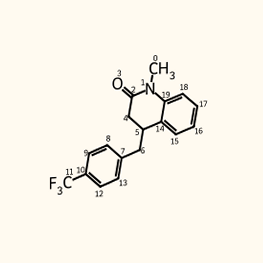 CN1C(=O)CC(Cc2ccc(C(F)(F)F)cc2)c2ccccc21